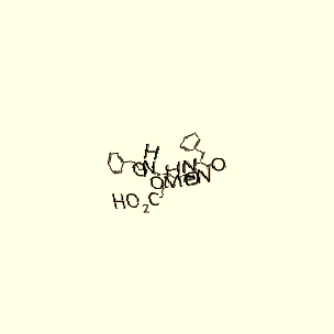 CNC(=O)[C@H](Cc1ccccc1)NC(=O)[C@H](CCCC(=O)O)CC(=O)NOCc1ccccc1